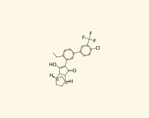 CCc1ccc(-c2ccc(Cl)c(C(F)(F)F)c2)cc1C1=C(O)C2C(C1=O)[C@@H]1CC[C@H]2C1